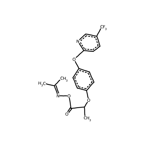 CC(C)=NOC(=O)C(C)Oc1ccc(Oc2ccc(C(F)(F)F)cn2)cc1